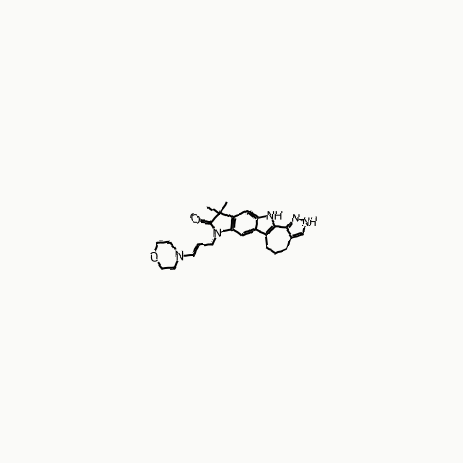 CC1(C)C(=O)N(CCCN2CCOCC2)c2cc3c4c([nH]c3cc21)-c1n[nH]cc1CCC4